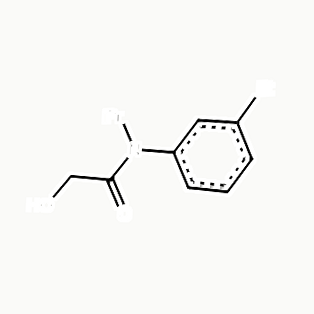 CCc1cccc(N(C(=O)CO)C(C)C)c1